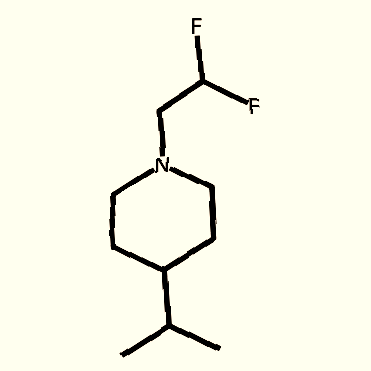 CC(C)C1CCN(CC(F)F)CC1